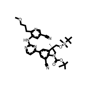 COCCCc1ncc(C#N)cc1Nc1nccc(-c2cc(C#N)c3c(c2)[C@@](C)(CO[Si](C)(C)C(C)(C)C)CN3C(=O)OC(C)(C)C)n1